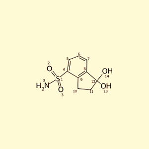 NS(=O)(=O)c1cccc2c1CCC2(O)O